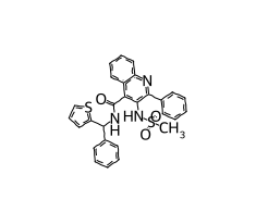 CS(=O)(=O)Nc1c(-c2ccccc2)nc2ccccc2c1C(=O)NC(c1ccccc1)c1cccs1